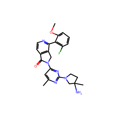 COc1cccc(F)c1-c1nccc2c1CN(c1cc(C)nc(N3CCC(C)(N)C3)n1)C2=O